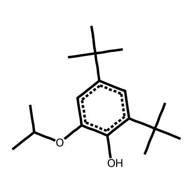 CC(C)Oc1cc(C(C)(C)C)cc(C(C)(C)C)c1O